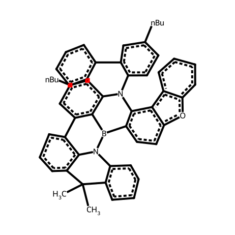 CCCCc1ccc(N2c3cc(CCCC)cc4c3B(c3ccc5oc6ccccc6c5c32)N2c3ccccc3C(C)(C)c3cccc-4c32)c(-c2ccccc2)c1